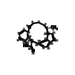 C[C@H]1CCCOc2ccnc3[nH]c(=O)n(c23)-c2ccc3ncn1c3c2